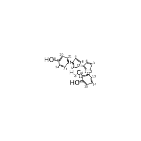 C1=CCC=C1.C1=CCC=C1.Cc1ccccc1O.Oc1ccccc1